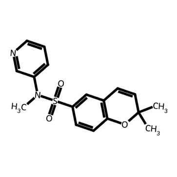 CN(c1cccnc1)S(=O)(=O)c1ccc2c(c1)C=CC(C)(C)O2